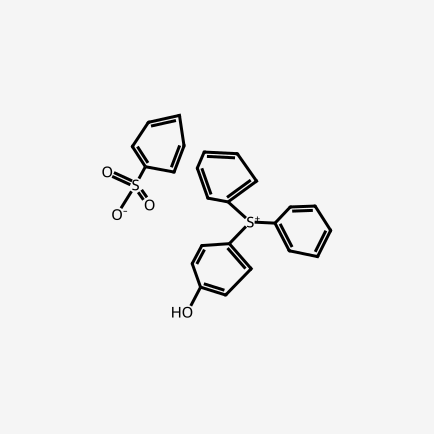 O=S(=O)([O-])c1ccccc1.Oc1ccc([S+](c2ccccc2)c2ccccc2)cc1